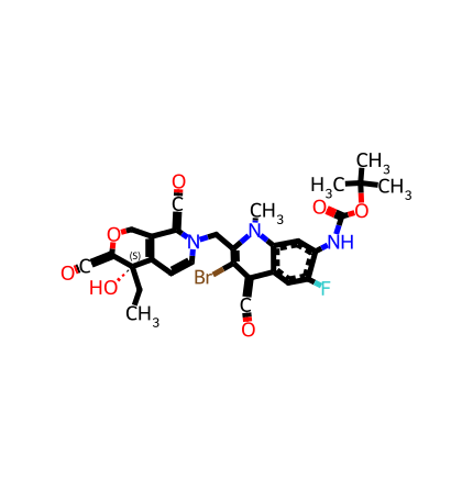 CC[C@@]1(O)C(=C=O)OCC2=C1C=CN(CC1=C(Br)C(=C=O)c3cc(F)c(NC(=O)OC(C)(C)C)cc3N1C)C2=C=O